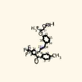 Cc1ccc(C(=O)c2cc(C(F)(F)F)cn2C/C=C/c2cccc(O[C@@H](C)COO)c2)cc1